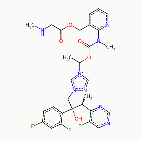 CNCC(=O)OCc1cccnc1N(C)C(=O)OC(C)[n+]1cnn(C[C@](O)(c2ccc(F)cc2F)[C@@H](C)c2ncncc2F)c1